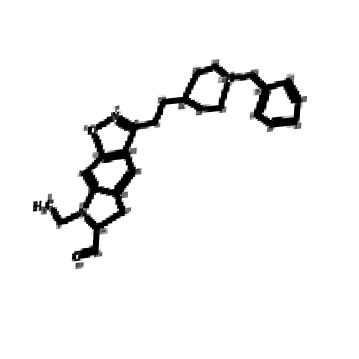 CCN1c2cc3onc(CCC4CCN(Cc5ccccc5)CC4)c3cc2CC1C=O